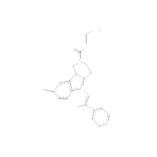 C/C(=C\n1c2c(c3cc(C)ccc31)CN(C(=O)OCC(Cl)(Cl)Cl)CC2)c1ccncc1